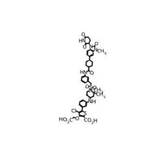 Cn1c(=O)n(C2CCC(=O)NC2=O)c2ccc(C3CCC(C(=O)Nc4cccc(CS(=O)(=O)N5CC[C@H](Nc6cccc(-c7sc(C(=O)O)c(OCC(=O)O)c7Cl)c6)CC5(C)C)c4)CC3)cc21